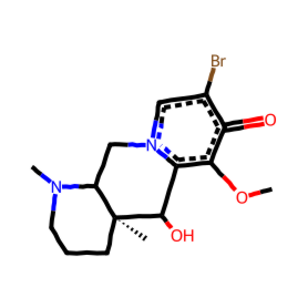 COc1c2n(cc(Br)c1=O)CC1N(C)CCC[C@]1(C)C2O